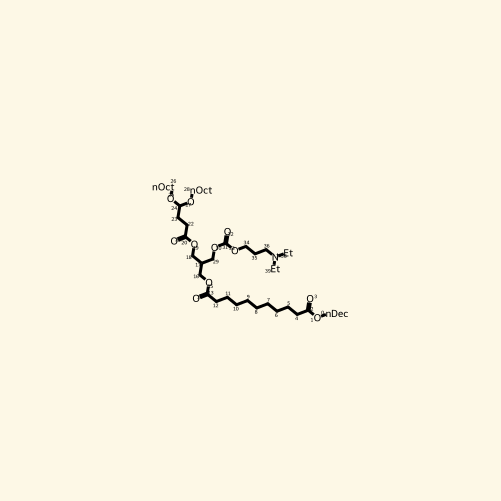 CCCCCCCCCCOC(=O)CCCCCCCCCC(=O)OCC(COC(=O)CCC(OCCCCCCCC)OCCCCCCCC)COC(=O)OCCCN(CC)CC